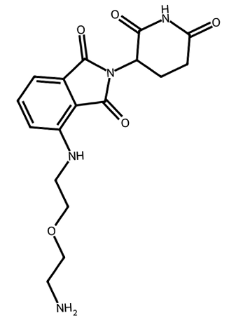 NCCOCCNc1cccc2c1C(=O)N(C1CCC(=O)NC1=O)C2=O